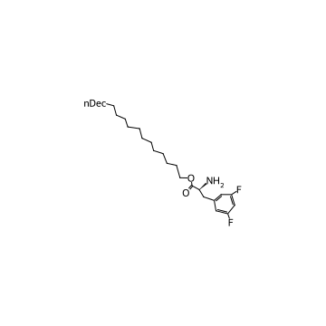 CCCCCCCCCCCCCCCCCCCCCCOC(=O)[C@@H](N)Cc1cc(F)cc(F)c1